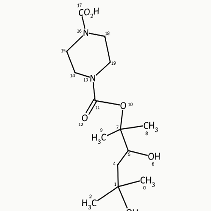 CC(C)(O)CC(O)C(C)(C)OC(=O)N1CCN(C(=O)O)CC1